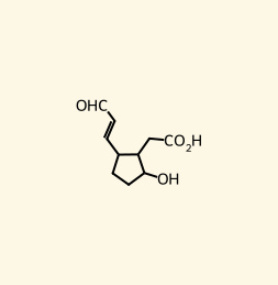 O=CC=CC1CCC(O)C1CC(=O)O